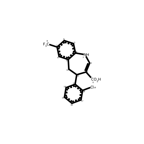 O=C(O)C1=CNc2ccc(C(F)(F)F)cc2CC1c1ccccc1Cl